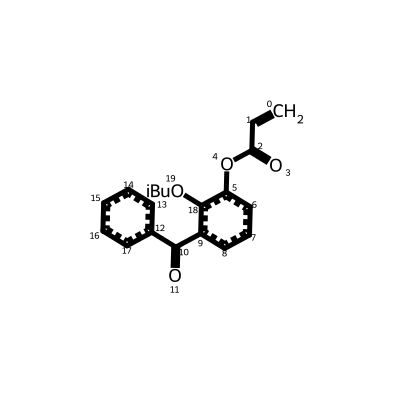 C=CC(=O)Oc1cccc(C(=O)c2ccccc2)c1OCC(C)C